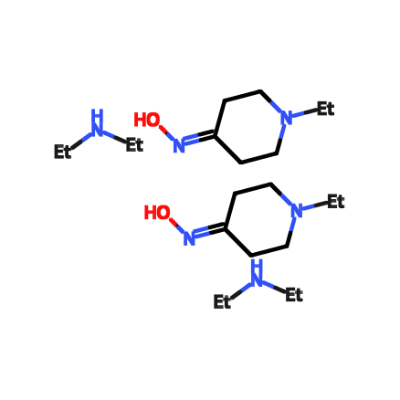 CCN1CCC(=NO)CC1.CCN1CCC(=NO)CC1.CCNCC.CCNCC